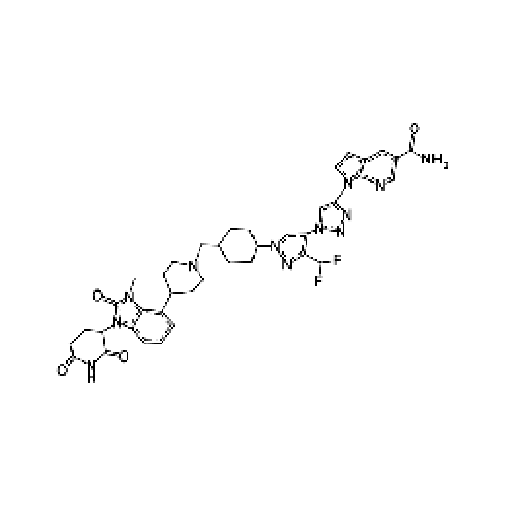 Cn1c(=O)n(C2CCC(=O)NC2=O)c2cccc(C3CCN(CC4CCC(n5cc(-n6cc(-n7ccc8cc(C(N)=O)cnc87)nn6)c(C(F)F)n5)CC4)CC3)c21